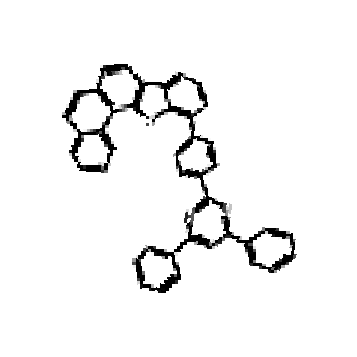 c1ccc(-c2cc(-c3ccccc3)nc(-c3ccc(-c4cccc5c4oc4c5ccc5ccc6ccccc6c54)cc3)n2)cc1